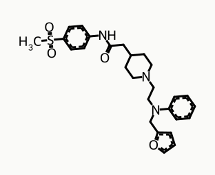 CS(=O)(=O)c1ccc(NC(=O)CC2CCN(CCN(Cc3ccco3)c3ccccc3)CC2)cc1